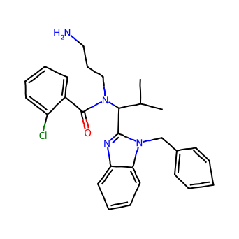 CC(C)C(c1nc2ccccc2n1Cc1ccccc1)N(CCCN)C(=O)c1ccccc1Cl